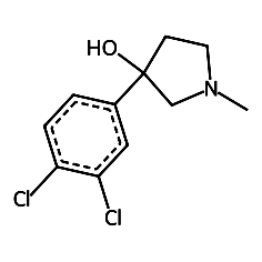 CN1CCC(O)(c2ccc(Cl)c(Cl)c2)C1